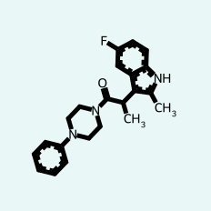 Cc1[nH]c2ccc(F)cc2c1C(C)C(=O)N1CCN(c2ccccc2)CC1